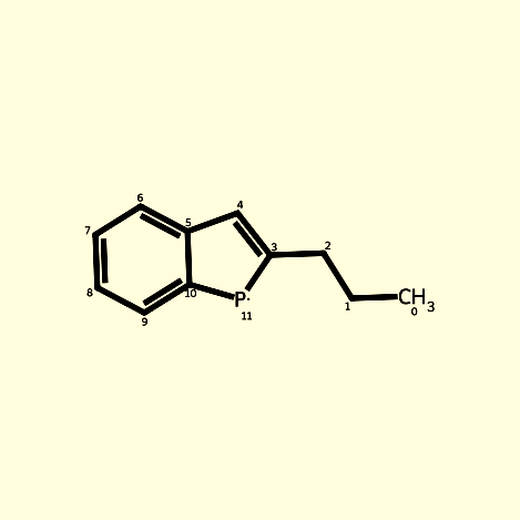 CCCC1=Cc2ccccc2[P]1